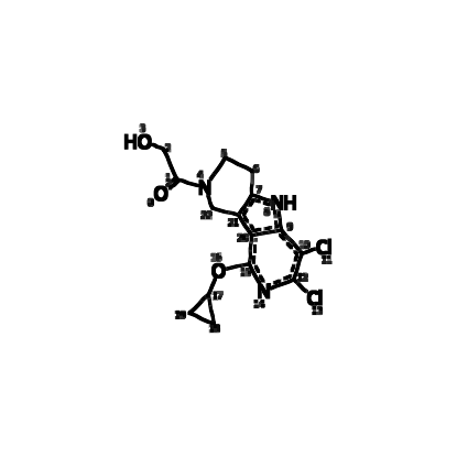 O=C(CO)N1CCc2[nH]c3c(Cl)c(Cl)nc(OC4CC4)c3c2C1